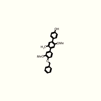 COc1cc(-c2cc(OC)c(-c3ccc(O)cc3)cc2C)ccc1OCc1ccccc1